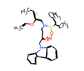 C=CO/C(=C\C)CN(CC(O)Cn1c2ccccc2c2ccccc21)[S+]([O-])C(C)C